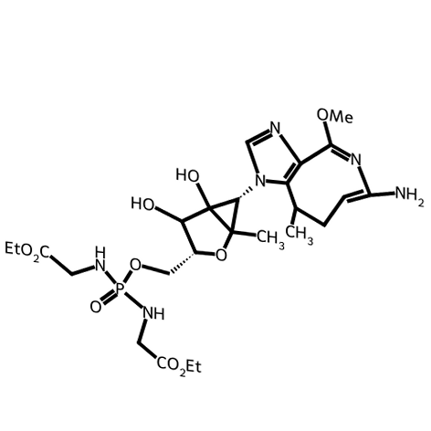 CCOC(=O)CNP(=O)(NCC(=O)OCC)OC[C@H]1OC2(C)[C@@H](n3cnc4c3C(C)C/C=C(N)/N=C\4OC)C2(O)C1O